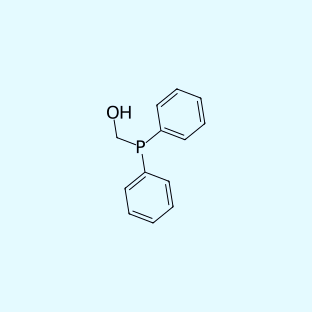 OCP(c1ccccc1)c1ccccc1